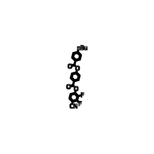 CCCCc1ccc(C(=O)Oc2ccc(C(=O)Oc3ccc(C#N)c(F)c3F)cc2)cc1